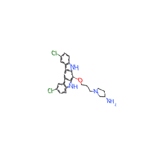 N[C@H]1CCN(CCCOc2c3[nH]c4ccc(Cl)cc4c3cc3c2[nH]c2ccc(Cl)cc23)C1